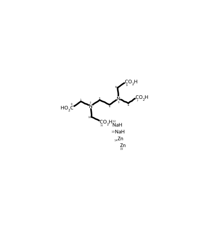 O=C(O)CN(CCN(CC(=O)O)CC(=O)O)CC(=O)O.[NaH].[NaH].[Zn].[Zn]